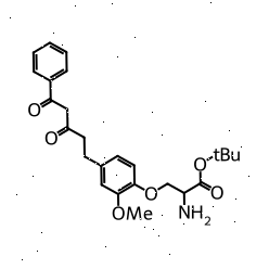 COc1cc(CCC(=O)CC(=O)c2ccccc2)ccc1OCC(N)C(=O)OC(C)(C)C